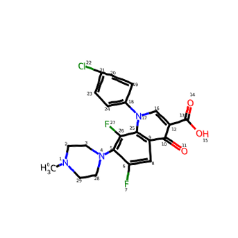 CN1CCN(c2c(F)cc3c(=O)c(C(=O)O)cn(-c4ccc(Cl)cc4)c3c2F)CC1